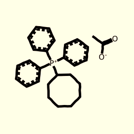 CC(=O)[O-].c1ccc([P+](c2ccccc2)(c2ccccc2)C2CCCCCCC2)cc1